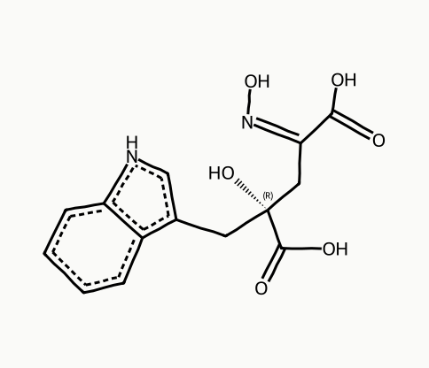 O=C(O)C(C[C@](O)(Cc1c[nH]c2ccccc12)C(=O)O)=NO